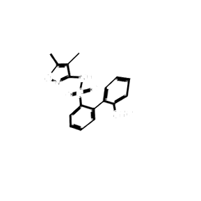 Cc1onc(NS(=O)(=O)c2ccccc2-c2ccccc2C=O)c1C